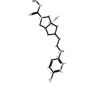 CC(C)(C)OC(=O)N1CC2CC(CCNc3ccc(Cl)nn3)C[C@@H]2C1